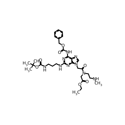 CCOC(=O)CN(CCNC)C(=O)Cn1cnc2c(NC(=O)OCc3ccccc3)nc(NCCCNC(=O)OC(C)(C)C)nc21